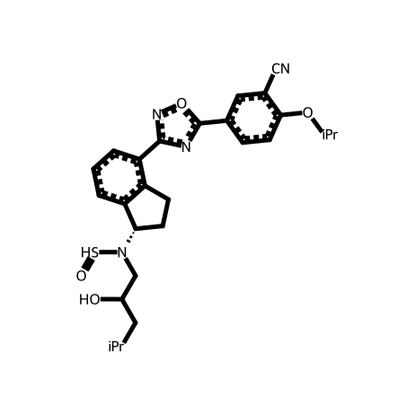 CC(C)CC(O)CN([SH]=O)[C@H]1CCc2c(-c3noc(-c4ccc(OC(C)C)c(C#N)c4)n3)cccc21